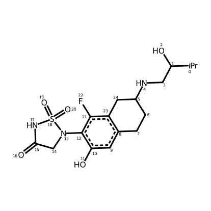 CC(C)C(O)CNC1CCc2cc(O)c(N3CC(=O)NS3(=O)=O)c(F)c2C1